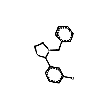 Clc1cccc(C2OCCN2Cc2ccccc2)c1